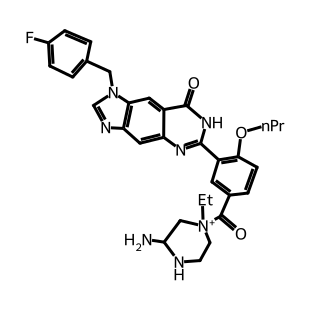 CCCOc1ccc(C(=O)[N+]2(CC)CCNC(N)C2)cc1-c1nc2cc3ncn(Cc4ccc(F)cc4)c3cc2c(=O)[nH]1